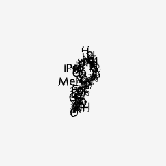 CNC(=O)COc1cc2cc(Nc3nc(N4CCC(OC5CC(N6CCC(c7cc(F)c8c(c7F)CN([C@H]7CCC(=O)NC7=O)C8=O)CC6)C5)CC4)ncc3Cl)ccc2n(C(C)C)c1=O